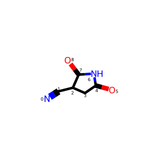 N#CC1CC(=O)NC1=O